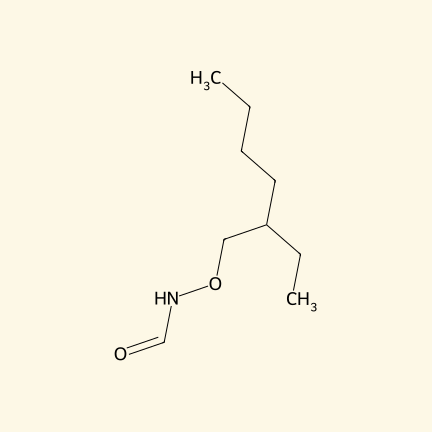 CCCCC(CC)CONC=O